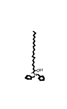 CCCCCCCCCCCCCCCCCCC[C@@H](O)[C@H](C)N(Cc1ccccc1)Cc1ccccc1